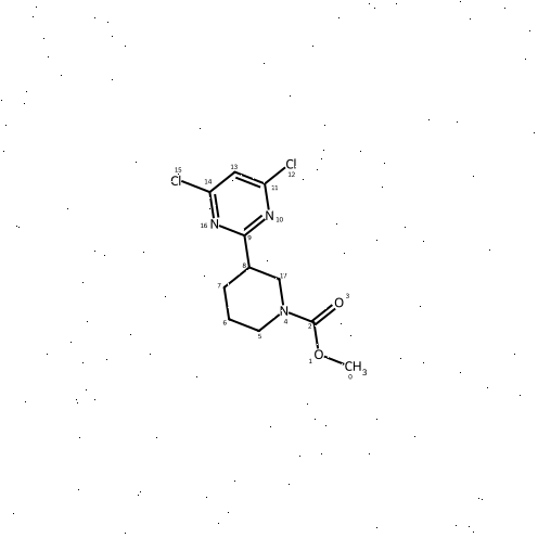 COC(=O)N1CCCC(c2nc(Cl)cc(Cl)n2)C1